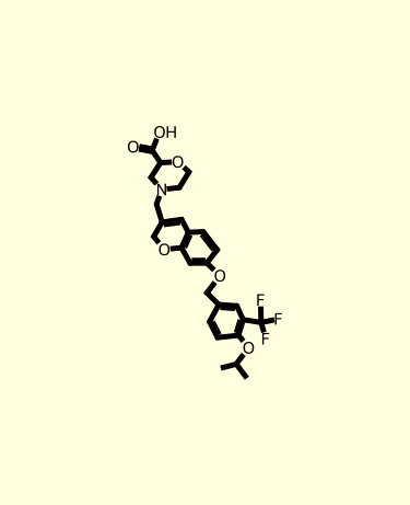 CC(C)Oc1ccc(COc2ccc3c(c2)OCC(CN2CCOC(C(=O)O)C2)=C3)cc1C(F)(F)F